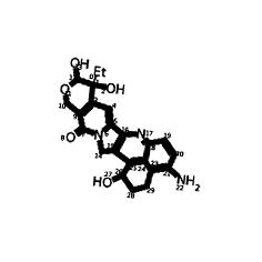 CC[C@]1(O)c2cc3n(c(=O)c2COC1O)Cc1c-3nc2ccc(N)c3c2c1C(O)CC3